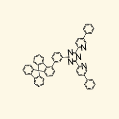 c1ccc(-c2ccc(-c3nc(-c4cccc(-c5cccc6c5-c5ccccc5C65c6ccccc6-c6ccccc65)c4)nc(-c4ccc(-c5ccccc5)cn4)n3)nc2)cc1